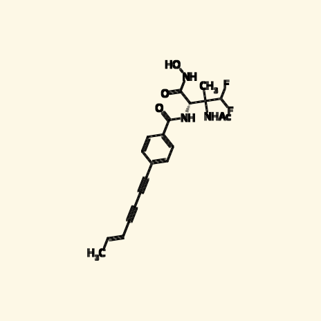 C/C=C/C#CC#Cc1ccc(C(=O)N[C@H](C(=O)NO)C(C)(NC(C)=O)C(F)F)cc1